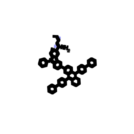 C/C=C\C=C(/N)c1cc2c3cc(-c4ccc5c(c4)C(c4ccc(-c6ccccc6)cc4)=C4C=CC=CC4C5c4ccc(-c5ccccc5)cc4)ccc3n(-c3ccccc3)c2cn1